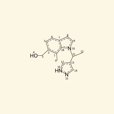 Cc1c(CO)ccc2ccn(C(C)c3cn[nH]c3)c12